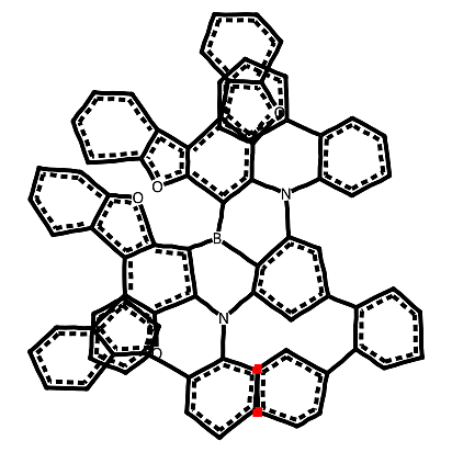 c1ccc(-c2ccccc2-c2cc3c4c(c2)N(c2ccccc2-c2ccccc2)c2c(c5oc6ccccc6c5c5c2oc2ccccc25)B4c2c(c4oc5ccccc5c4c4c2oc2ccccc24)N3c2ccccc2-c2ccccc2)cc1